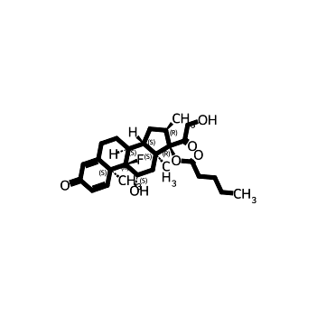 CCCCC(=O)O[C@]1(C(=O)CO)[C@H](C)C[C@H]2[C@@H]3CCC4=CC(=O)C=C[C@]4(C)[C@@]3(F)[C@@H](O)C[C@@]21C